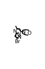 Cc1cc(N2C3CCC2COC3)n2nc(Br)cc2n1